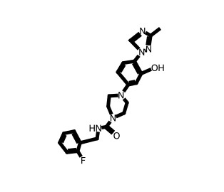 Cc1ncn(-c2ccc(N3CCN(C(=O)NCc4ccccc4F)CC3)cc2O)n1